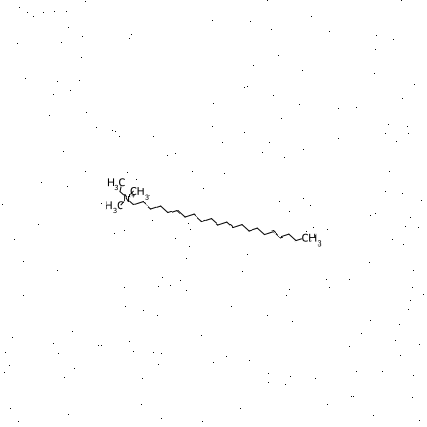 CCCCCCCCCCCCCCCCCCCCCC[N+](C)(C)CC